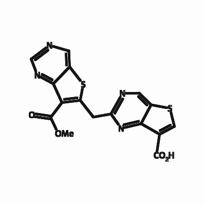 COC(=O)c1c(Cc2ncc3scc(C(=O)O)c3n2)sc2cncnc12